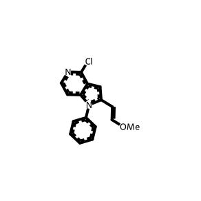 COC=Cc1cc2c(Cl)nccc2n1-c1ccccc1